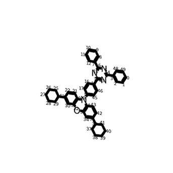 c1ccc(-c2nc(-c3ccccc3)nc(-c3ccc(N4c5ccc(C6CCCCC6)cc5Oc5cc(C6CCCCC6)ccc54)cc3)n2)cc1